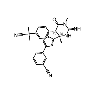 CN1C(=N)N[C@](C)(c2cc(-c3cccc(C#N)c3)cs2)[C@H](c2ccc(C(C)(C)C#N)cc2)C1=O